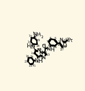 CC(C)c1nc(-c2cccc(NC(=O)c3cnc4c(Nc5ccccc5)cc(NC5CCC(N)CC5)nn34)c2)co1